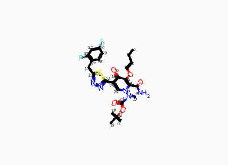 CCCCOc1c(C(N)=O)n(N(C)C(=O)OC(C)(C)C)cc(-c2nnc(Cc3ccc(F)cc3F)s2)c1=O